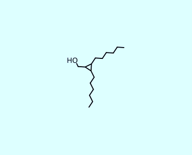 CCCCCCC1C(CO)C1CCCCCC